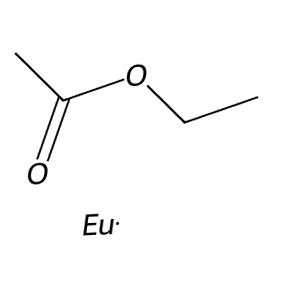 CCOC(C)=O.[Eu]